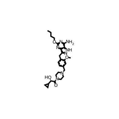 CCCCOc1nc(N)c2[nH]nc(Cc3ccc(CN4CCN(C(=O)[C@@H](O)C5CC5)CC4)cc3OC)c2n1